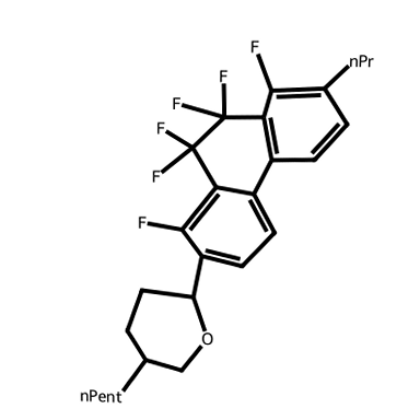 CCCCCC1CCC(c2ccc3c(c2F)C(F)(F)C(F)(F)c2c-3ccc(CCC)c2F)OC1